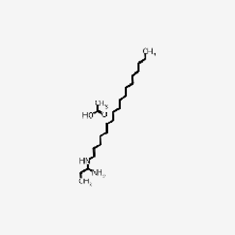 CC(=O)O.CCCCCCCCCCCCCCCCCCNC(N)CC